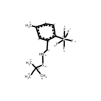 Cc1ccc(S(F)(F)(F)(F)F)c(CNSC(C)(C)C)c1